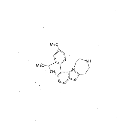 COc1ccc(-c2cccc3cc4n(c23)CCNCC4)c(C(C)OC)c1